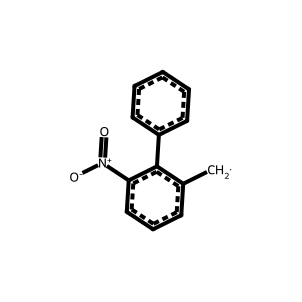 [CH2]c1cccc([N+](=O)[O-])c1-c1ccccc1